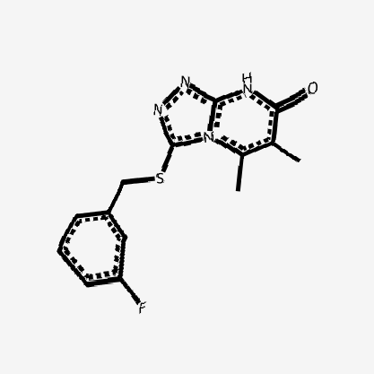 Cc1c(C)n2c(SCc3cccc(F)c3)nnc2[nH]c1=O